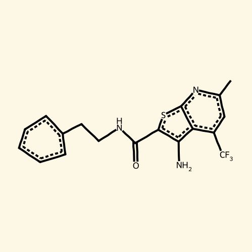 Cc1cc(C(F)(F)F)c2c(N)c(C(=O)NCCc3ccccc3)sc2n1